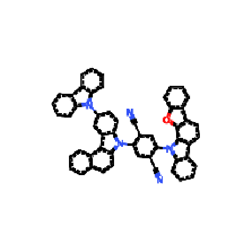 N#Cc1cc(-n2c3ccccc3c3ccc4c5ccccc5oc4c32)c(C#N)cc1-n1c2ccc(-n3c4ccccc4c4ccccc43)cc2c2c3ccccc3ccc21